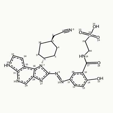 N#CC[C@H]1CC[C@H](n2c(/N=N/c3ccc(O)c(C(=O)NCCS(=O)(=O)O)c3)nc3cnc4[nH]ccc4c32)CC1